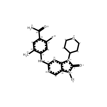 CCn1c(=O)n(C2CCOCC2)c2nc(Nc3cc(F)c(C(N)=O)cc3C)ncc21